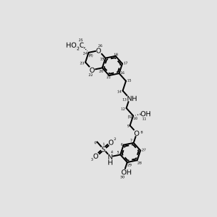 CS(=O)(=O)Nc1cc(OC[C@@H](O)CNCCc2ccc3c(c2)OC[C@H](C(=O)O)O3)ccc1O